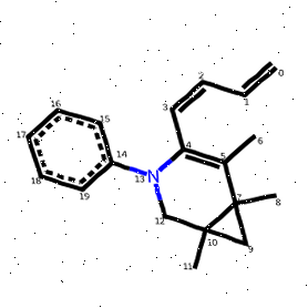 C=C/C=C\C1=C(C)C2(C)CC2(C)CN1c1ccccc1